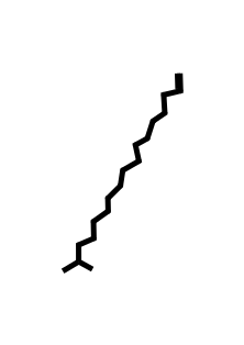 C=CCCCCCCCCCCCCCC(C)C